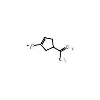 C=C(C)C1CC=C(C)C1